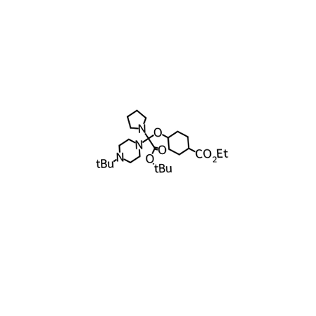 CCOC(=O)C1CCC(OC(C(=O)OC(C)(C)C)(N2CCCC2)N2CCN(C(C)(C)C)CC2)CC1